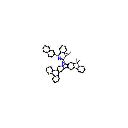 CC1C2C(n3c4cc5c(cc4c4cc6c7ccccc7c7ccccc7c6cc43)-c3ccccc3C5(C)C)=NC(c3ccc4ccccc4c3)=C3C=CC=C[C@]312